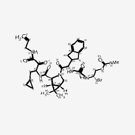 C=CCNC(=O)C(=O)C(CC1CC1)NC(=O)[C@@H]1[C@@H]2[C@H](CN1C(=O)[C@@H](NC(=O)N[C@H](COC(=O)NC)C(C)(C)C)C1Cc3ccccc3C1)C2(C)C